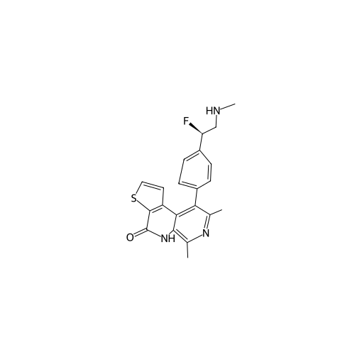 CNC[C@H](F)c1ccc(-c2c(C)nc(C)c3[nH]c(=O)c4sccc4c23)cc1